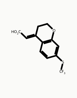 O=C(O)/C=C1\CCOc2cc(SC(F)(F)F)ccc21